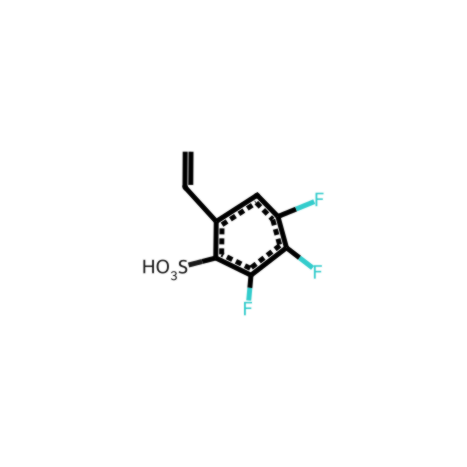 C=Cc1cc(F)c(F)c(F)c1S(=O)(=O)O